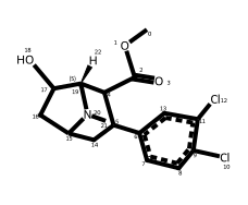 COC(=O)C1C(c2ccc(Cl)c(Cl)c2)CC2CC(O)[C@H]1N2C